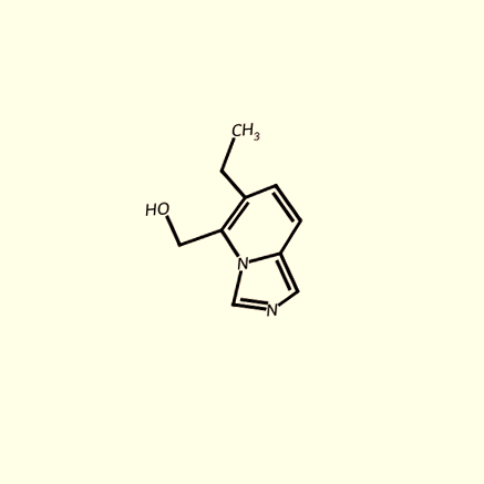 CCc1ccc2cncn2c1CO